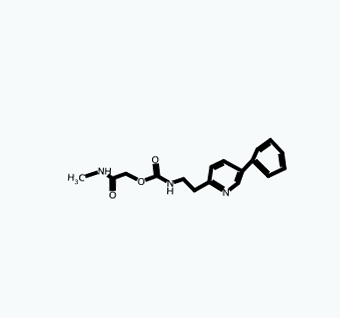 CNC(=O)COC(=O)NCCc1ccc(-c2ccccc2)cn1